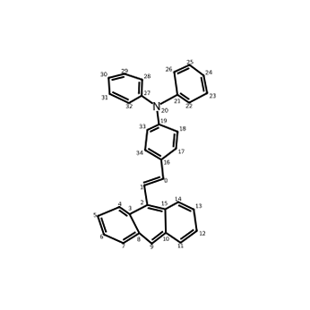 C(=Cc1c2ccccc2cc2ccccc12)c1ccc(N(c2ccccc2)c2ccccc2)cc1